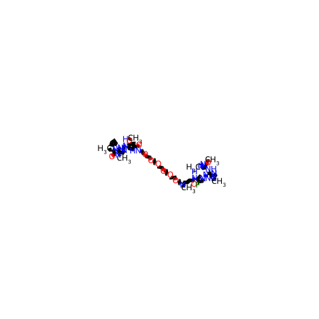 CC[C@@H]1C(=O)N(C)c2cnc(Nc3ccc(C(=O)NCCOCCOCCOCCOCCOCCOCCN(C)C/C=C/C(=O)N[C@@H]4CN(c5nc(Nc6cn(C)nc6OC)c6ncn(C)c6n5)C[C@H]4F)cc3OC)nc2N1C1CCCC1